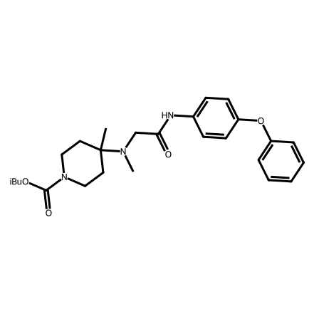 CC(C)COC(=O)N1CCC(C)(N(C)CC(=O)Nc2ccc(Oc3ccccc3)cc2)CC1